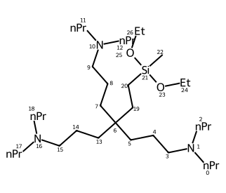 CCCN(CCC)CCCC(CCCN(CCC)CCC)(CCCN(CCC)CCC)CC[Si](C)(OCC)OCC